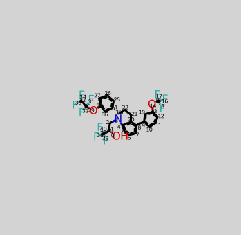 O[C@H](CN1c2cccc(-c3cccc(OC(F)(F)F)c3)c2CC[C@H]1c1cccc(OC(F)(F)C(F)F)c1)C(F)(F)F